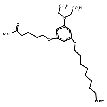 CCCCCCCCCCCCCCCCCCOc1cc(OCCCCC(=O)OC)cc(N(CC(=O)O)CC(=O)O)c1